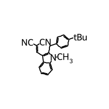 Cn1c(Cc2ccc(C(C)(C)C)cc2)c(C=C(C#N)C#N)c2ccccc21